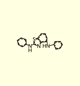 c1ccc(Nc2nc3c(Nc4ccccc4)cccc3s2)cc1